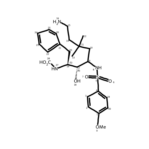 COc1ccc(S(=O)(=O)NC(CC(C)(C)CCN)[C@H](O)[C@H](Cc2ccccc2)NC(=O)O)cc1